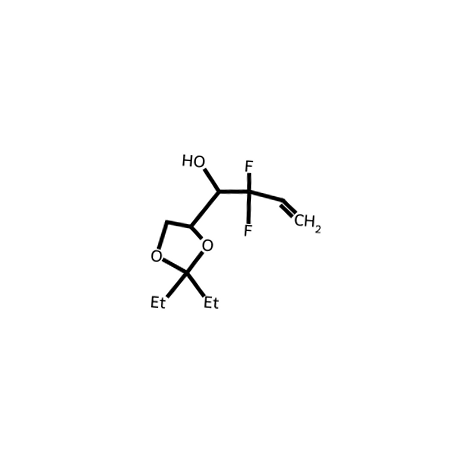 C=CC(F)(F)C(O)C1COC(CC)(CC)O1